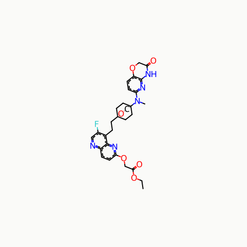 CCOC(=O)COc1ccc2ncc(F)c(CCC34CCC(N(C)c5ccc6c(n5)NC(=O)CO6)(CC3)CO4)c2n1